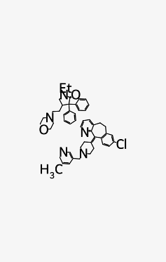 CCN1CC(CCN2CCOCC2)C(c2ccccc2)(c2ccccc2)C1=O.Cc1cncc(CN2CCC(=C3c4ccc(Cl)cc4CCc4cccnc43)CC2)c1